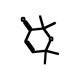 CC1(C)C=CC(=O)C(C)(C)O1